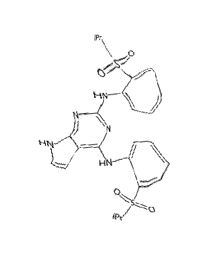 CC(C)S(=O)(=O)c1ccccc1Nc1nc(Nc2ccccc2S(=O)(=O)C(C)C)c2cc[nH]c2n1